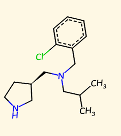 CC(C)CN(Cc1ccccc1Cl)C[C@@H]1CCNC1